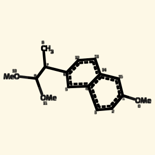 COc1ccc2cc(C(C)C(OC)OC)ccc2c1